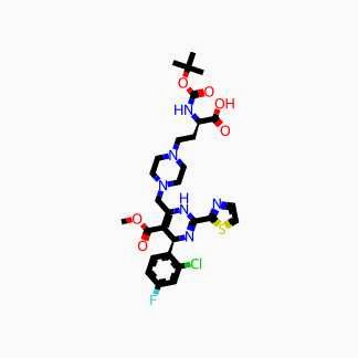 COC(=O)C1=C(CN2CCN(CC[C@@H](NC(=O)OC(C)(C)C)C(=O)O)CC2)NC(c2nccs2)=N[C@H]1c1ccc(F)cc1Cl